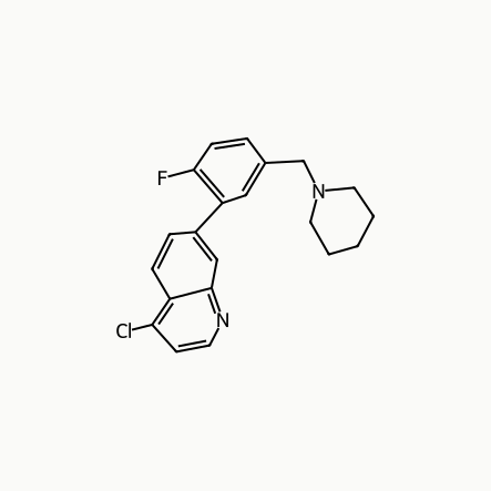 Fc1ccc(CN2CCCCC2)cc1-c1ccc2c(Cl)ccnc2c1